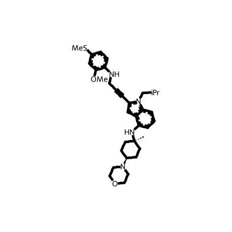 COc1cc(SC)ccc1NCC#Cc1cc2c(N[C@]3(C)CC[C@H](N4CCOCC4)CC3)cccc2n1CC(C)C